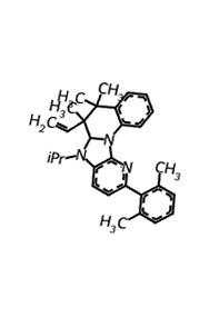 C=CC1(C)C2N(c3ccccc3C1(C)C)c1nc(-c3c(C)cccc3C)ccc1N2C(C)C